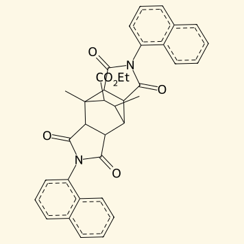 CCOC(=O)C1C(C)C2C3C(=O)N(c4cccc5ccccc45)C(=O)C3C1(C)C1C(=O)N(c3cccc4ccccc34)C(=O)C21